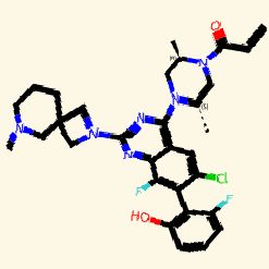 C=CC(=O)N1C[C@H](C)N(c2nc(N3CC4(CCCN(C)C4)C3)nc3c(F)c(-c4c(O)cccc4F)c(Cl)cc23)C[C@H]1C